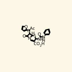 CC(=O)N(c1ccco1)C1C(=O)N2C=C(C(=O)O)C(NC(=O)Nc3ccccc3)S[C@H]12